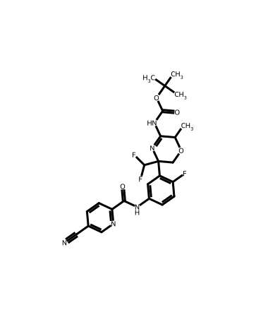 CC1OCC(c2cc(NC(=O)c3ccc(C#N)cn3)ccc2F)(C(F)F)N=C1NC(=O)OC(C)(C)C